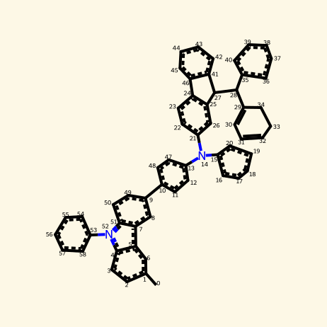 Cc1ccc2c(c1)c1cc(-c3ccc(N(c4ccccc4)c4ccc5c(c4)C(C(C4=CC=CCC4)c4ccccc4)c4ccccc4-5)cc3)ccc1n2-c1ccccc1